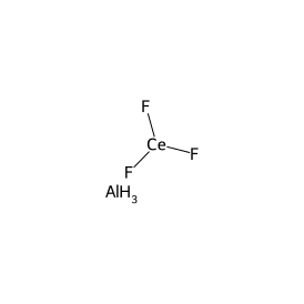 [AlH3].[F][Ce]([F])[F]